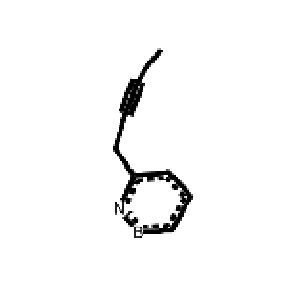 CC#CCc1cccbn1